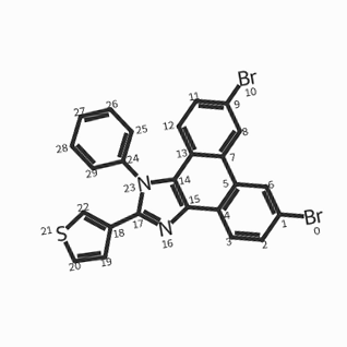 Brc1ccc2c(c1)c1cc(Br)ccc1c1c2nc(-c2ccsc2)n1-c1ccccc1